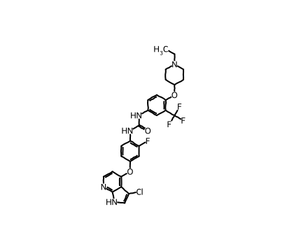 CCN1CCC(Oc2ccc(NC(=O)Nc3ccc(Oc4ccnc5[nH]cc(Cl)c45)cc3F)cc2C(F)(F)F)CC1